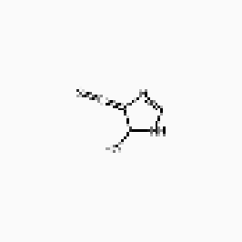 OC1NC=NC1=C=S